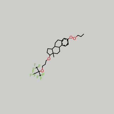 CCCOOc1ccc2c(c1)CCC1C2CCC2(C)C(OCCCOC(C(F)(F)F)(C(F)(F)F)C(F)(F)F)CCC12